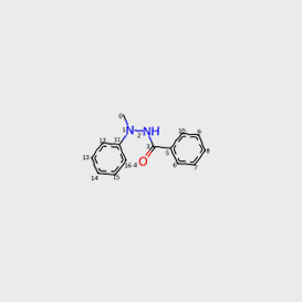 CN(NC(=O)c1ccccc1)c1ccccc1